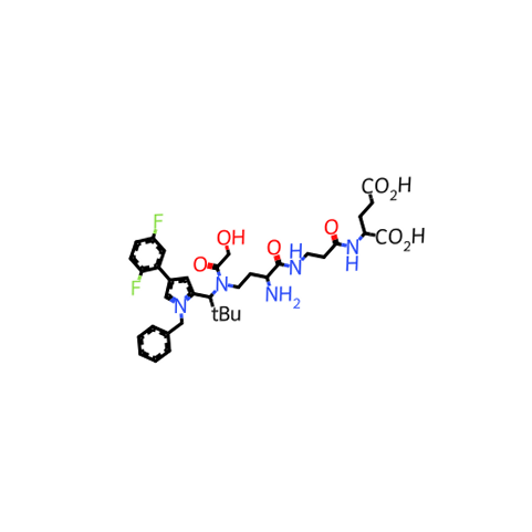 CC(C)(C)C(c1cc(-c2cc(F)ccc2F)cn1Cc1ccccc1)N(CCC(N)C(=O)NCCC(=O)NC(CCC(=O)O)C(=O)O)C(=O)CO